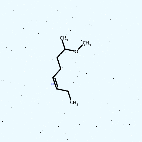 CC/C=C\CCC(C)OC